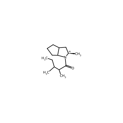 CCC(C)C(C)C(=O)N1C2CCCC2C[C@H]1C